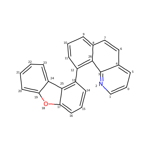 c1cnc2c(c1)ccc1cccc(-c3cccc4oc5ccccc5c34)c12